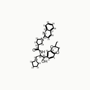 CC1COc2ccc([C@@H](O)[C@@H](CN3CCCC3)NC(=O)C3CCN(c4ccc5ccccc5n4)C3)cc2O1